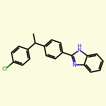 CC(c1ccc(Cl)cc1)c1ccc(-c2nc3ccccc3[nH]2)cc1